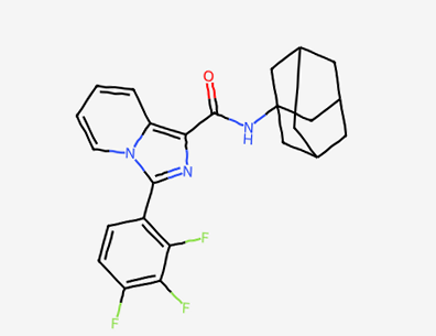 O=C(NC12CC3CC(CC(C3)C1)C2)c1nc(-c2ccc(F)c(F)c2F)n2ccccc12